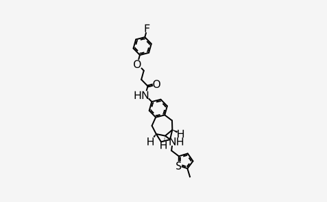 Cc1ccc(CN[C@H]2[C@@H]3CC[C@H]2Cc2ccc(NC(=O)CCOc4ccc(F)cc4)cc2C3)s1